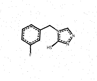 Fc1cccc(Cn2cnnc2S)c1